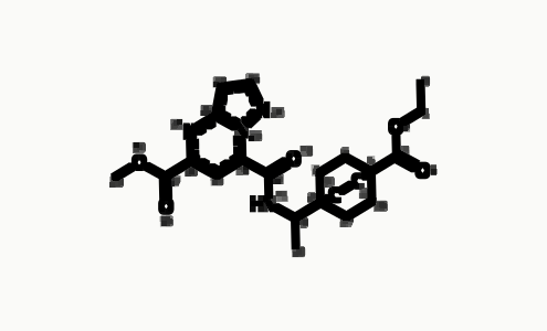 CCOC(=O)C12CCC(C(C)NC(=O)c3cc(C(=O)OC)nc4ccnn34)(CC1)CC2